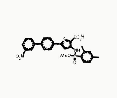 COP(=O)(Nc1cc(-c2ccc(-c3cccc([N+](=O)[O-])c3)cc2)sc1C(=O)O)c1ccc(C)cc1C